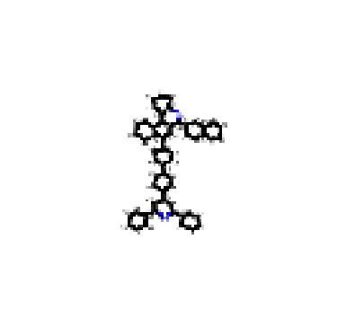 c1ccc(-c2cc(-c3ccc(-c4ccc(-c5cc6c(-c7ccc8ccccc8c7)nc7ccccc7c6c6ccccc56)cc4)cc3)cc(-c3ccccc3)n2)cc1